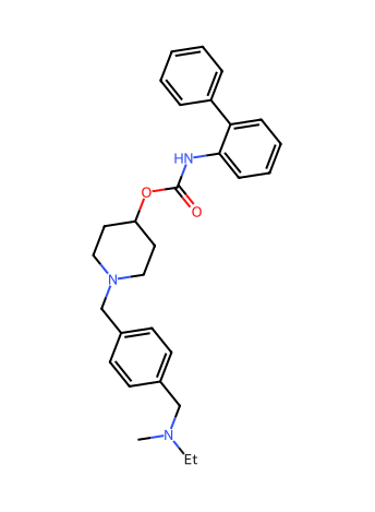 CCN(C)Cc1ccc(CN2CCC(OC(=O)Nc3ccccc3-c3ccccc3)CC2)cc1